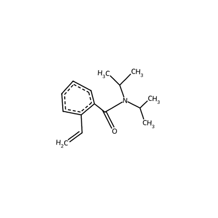 C=Cc1ccccc1C(=O)N(C(C)C)C(C)C